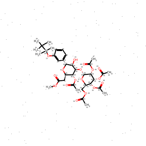 COC(=O)C[C@H]1O[C@H](c2cccc(O[Si](C)(C)C(C)(C)C)c2)[C@@H](O)[C@@H](O[C@H]2O[C@H](COC(C)=O)[C@@H](OC(C)=O)[C@@H](OC(C)=O)[C@H]2OC(C)=O)[C@@H]1OC(C)=O